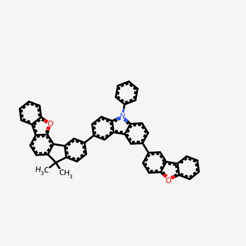 CC1(C)c2ccc(-c3ccc4c(c3)c3cc(-c5ccc6oc7ccccc7c6c5)ccc3n4-c3ccccc3)cc2-c2c1ccc1c2oc2ccccc21